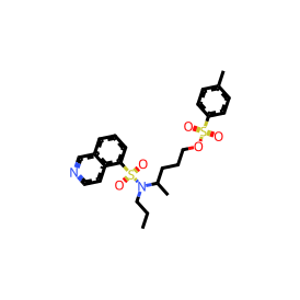 CCCN(C(C)CCCOS(=O)(=O)c1ccc(C)cc1)S(=O)(=O)c1cccc2cnccc12